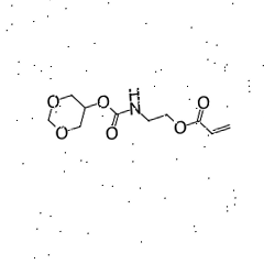 C=CC(=O)OCCNC(=O)OC1COCOC1